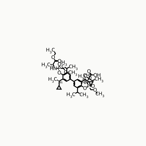 CCOC(=O)[C@H](C)NP(=O)(COC)Oc1c(C(C)C)cc(-c2cc(C(C)C)c(OP(=O)(COC)NC(C)(CC)C(=O)O)c([C@H](C)C3CC3)c2)cc1[C@H](C)C1CC1